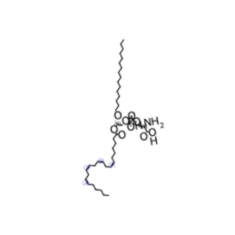 CCCCC/C=C\C/C=C\C/C=C\C/C=C\CCCCCC(=O)O[C@H](COCCCCCCCCCCCCCCCC)COP(=O)(O)OC[C@H](N)C(=O)O